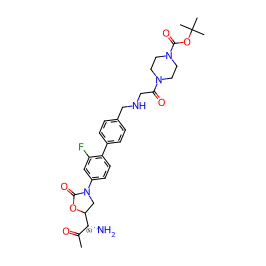 CC(=O)[C@@H](N)C1CN(c2ccc(-c3ccc(CNCC(=O)N4CCN(C(=O)OC(C)(C)C)CC4)cc3)c(F)c2)C(=O)O1